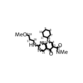 CNC(=O)c1cn(C2CCCCC2)c2nc(NCCCOC)ncc2c1=O